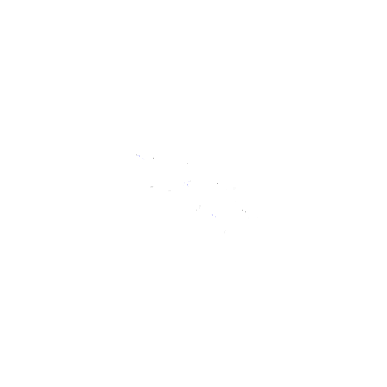 C[N+]1(C)C=C(N2CCC(N)CC2)C=CC1[N+](=O)[O-]